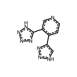 [c]1nccc(-c2c[nH]nn2)c1-c1nnn[nH]1